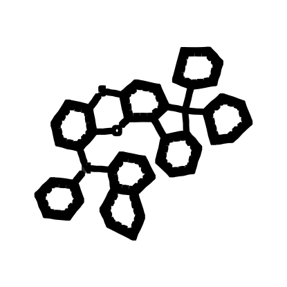 c1ccc(N(c2cccc3c2Oc2c(ccc4c2-c2ccccc2C4(c2ccccc2)c2ccccc2)S3)c2cccc3ccccc23)cc1